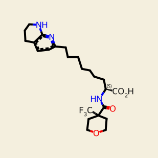 O=C(O)[C@H](CCCCCCCc1ccc2c(n1)NCCC2)NC(=O)C1(C(F)(F)F)CCOCC1